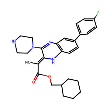 N#CC(C(=O)OCC1CCCCC1)=C1Nc2ccc(-c3ccc(F)cc3)cc2N=C1N1CCNCC1